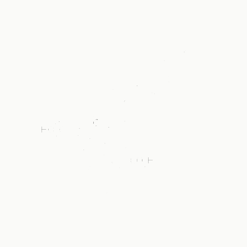 O=C(O)C12CC3CC(C1)CC(C14CC5CC(C#Cc6ccccc6)(CC(C(=O)O)(C5)C1)C4)(C3)C2